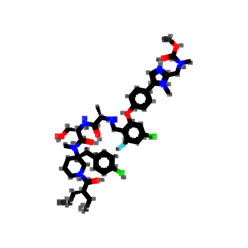 C[C@H](NCc1c(F)cc(Cl)cc1Oc1ccc(-c2cnc(CN(C)C(=O)OC(C)(C)C)n2C)cc1)C(=O)N[C@@H](CO)C(=O)N(C)[C@@]1(Cc2ccc(Cl)cc2)CCCN(C(=O)[C@@H](CC(=O)O)CC(F)(F)F)C1